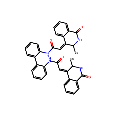 CCC(C)C1NC(=O)c2ccccc2C1=CC(=O)Nc1ccccc1-c1ccccc1NC(=O)C=C1c2ccccc2C(=O)NC1C(C)CC